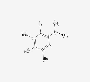 CCc1c(N(C)C)cc(C(C)(C)C)c(O)c1C(C)(C)C